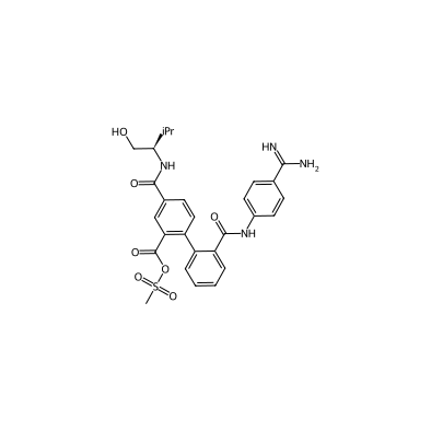 CC(C)[C@H](CO)NC(=O)c1ccc(-c2ccccc2C(=O)Nc2ccc(C(=N)N)cc2)c(C(=O)OS(C)(=O)=O)c1